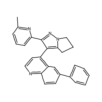 Cc1cccc(-c2nn3c(c2-c2ccnc4ccc(-c5ccccc5)cc24)CCC3)n1